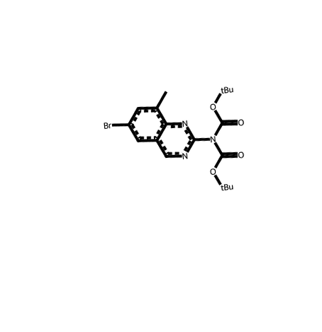 Cc1cc(Br)cc2cnc(N(C(=O)OC(C)(C)C)C(=O)OC(C)(C)C)nc12